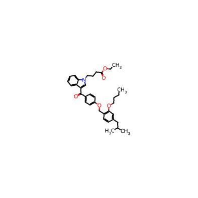 CCCCOc1cc(CC(C)C)ccc1COc1ccc(C(=O)c2cn(CCCC(=O)OCC)c3ccccc23)cc1